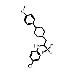 COc1ccc(C2CCC(CC(Nc3ccc(Cl)cc3)C(F)(F)F)CC2)cc1